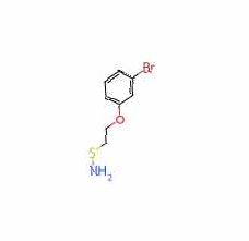 NSCCOc1cccc(Br)c1